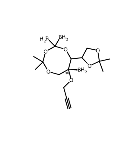 BC1(B)OC(C2COC(C)(C)O2)[C@](B)(OCC#C)COC(C)(C)O1